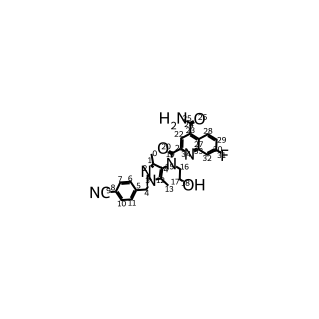 Cc1nn(Cc2ccc(C#N)cc2)c(C)c1N(CCO)C(=O)c1cc(C(N)=O)c2ccc(F)cc2n1